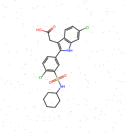 O=C(O)Cc1c(-c2ccc(Cl)c(S(=O)(=O)NC3CCCCC3)c2)[nH]c2cc(Cl)ccc12